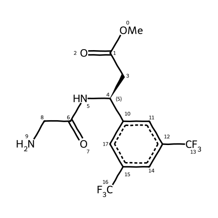 COC(=O)C[C@H](NC(=O)CN)c1cc(C(F)(F)F)cc(C(F)(F)F)c1